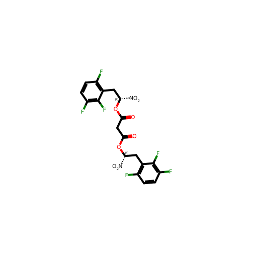 O=C(CC(=O)O[C@H](Cc1c(F)ccc(F)c1F)[N+](=O)[O-])O[C@H](Cc1c(F)ccc(F)c1F)[N+](=O)[O-]